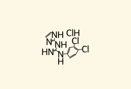 Cl.N=C(Nc1ccc(Cl)c(Cl)c1)Nc1ncc[nH]1